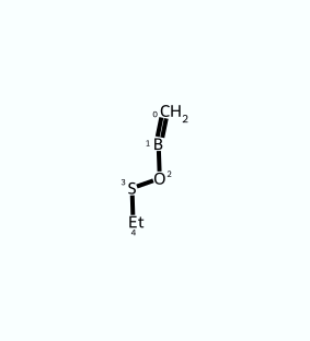 C=BOSCC